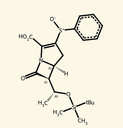 C[C@@H](O[Si](C)(C)C(C)(C)C)[C@H]1C(=O)N2C(C(=O)O)=C([S+]([O-])c3ccccc3)C[C@@H]12